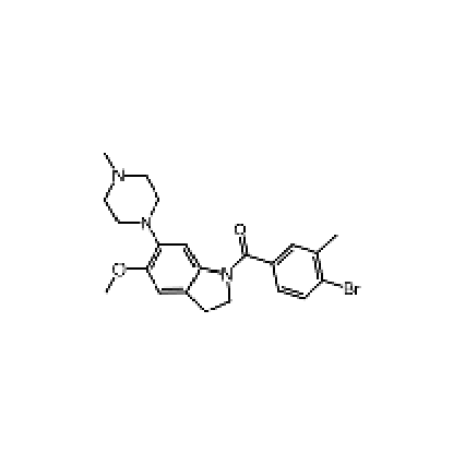 COc1cc2c(cc1N1CCN(C)CC1)N(C(=O)c1ccc(Br)c(C)c1)CC2